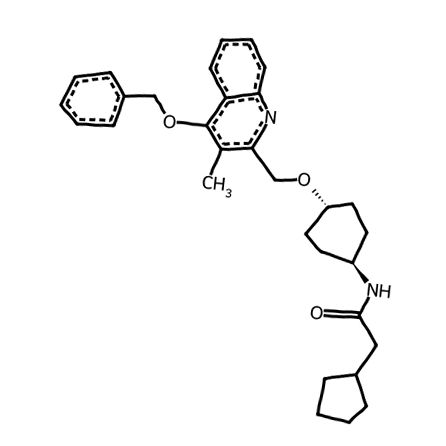 Cc1c(CO[C@H]2CC[C@H](NC(=O)CC3CCCC3)CC2)nc2ccccc2c1OCc1ccccc1